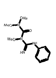 CON(OC)C(=O)N(OC)C(=N)Nc1ccccc1